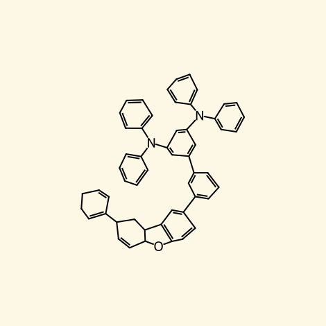 C1=CC(C2C=CC3Oc4ccc(-c5cccc(-c6cc(N(c7ccccc7)c7ccccc7)cc(N(c7ccccc7)c7ccccc7)c6)c5)cc4C3C2)=CCC1